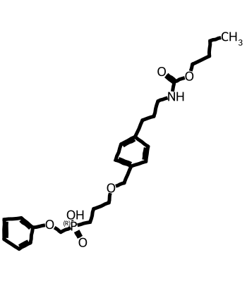 CCCCOC(=O)NCCCc1ccc(COCCC[P@@](=O)(O)COc2ccccc2)cc1